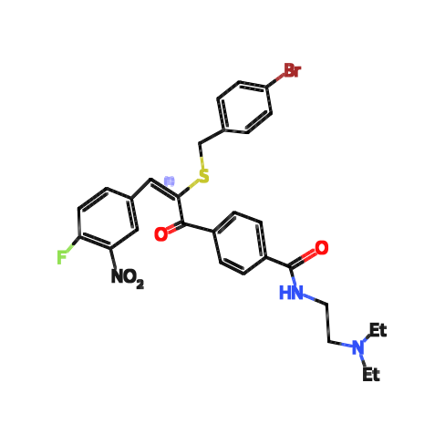 CCN(CC)CCNC(=O)c1ccc(C(=O)/C(=C\c2ccc(F)c([N+](=O)[O-])c2)SCc2ccc(Br)cc2)cc1